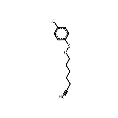 C#CCCCCCOSc1ccc(C)cc1